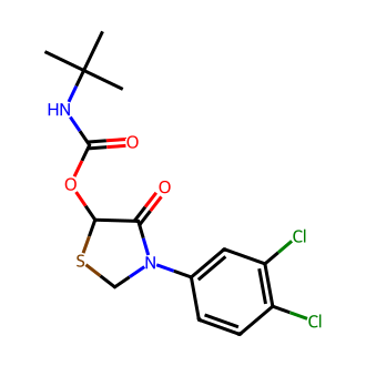 CC(C)(C)NC(=O)OC1SCN(c2ccc(Cl)c(Cl)c2)C1=O